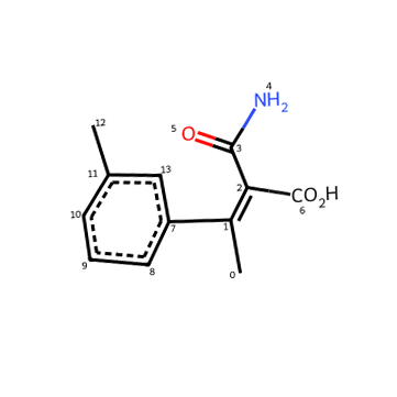 CC(=C(C(N)=O)C(=O)O)c1cccc(C)c1